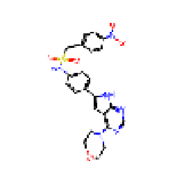 O=[N+]([O-])c1ccc(CS(=O)(=O)Nc2ccc(-c3cc4c(N5CCOCC5)ncnc4[nH]3)cc2)cc1